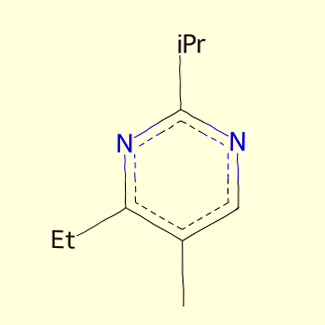 CCc1nc(C(C)C)ncc1C